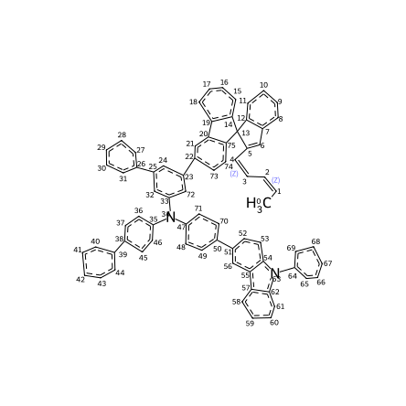 C/C=C\C=C/C1=Cc2ccccc2C12c1ccccc1-c1cc(-c3cc(-c4ccccc4)cc(N(c4ccc(-c5ccccc5)cc4)c4ccc(-c5ccc6c(c5)c5ccccc5n6-c5ccccc5)cc4)c3)ccc12